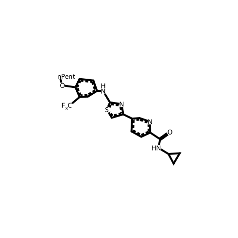 CCCCCOc1ccc(Nc2nc(-c3ccc(C(=O)NC4CC4)nc3)cs2)cc1C(F)(F)F